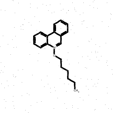 CCCCCCO[n+]1cc2ccccc2c2ccccc21